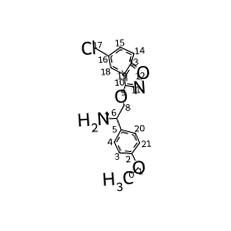 COc1ccc(C(N)COc2noc3ccc(Cl)cc23)cc1